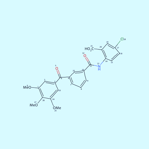 COc1cc(C(=O)c2cccc(C(=O)Nc3ccc(Cl)cc3C(=O)O)c2)cc(OC)c1OC